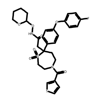 O=C(CC1(c2ccc(Oc3ccc(F)cc3)cc2)CCN(C(=O)c2ccsc2)CCS1(=O)=O)NOC1CCCCO1